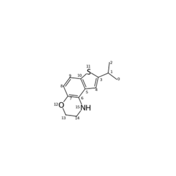 CC(C)c1cc2c3c(ccc2s1)OCCN3